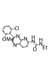 CCNC(=O)Nc1ccc2ncc(-c3c(Cl)cccc3OC)nc2n1